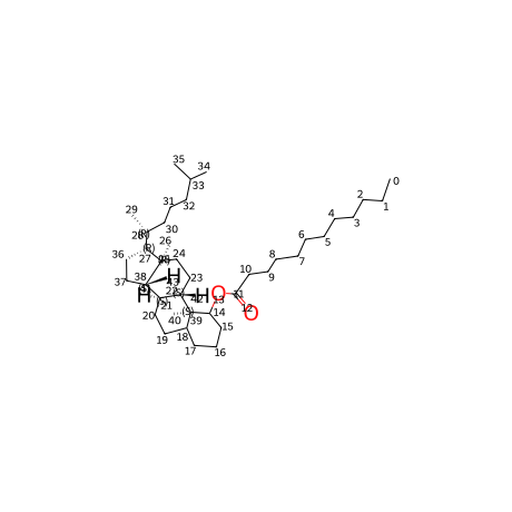 CCCCCCCCCCCC(=O)OC1CCCC2CC[C@@H]3[C@H](CC[C@]4(C)[C@@H]([C@H](C)CCCC(C)C)CC[C@@H]34)[C@]21C